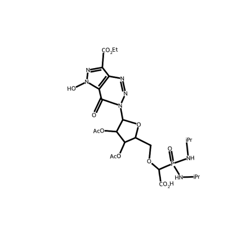 CCOC(=O)c1nn(O)c2c(=O)n(C3OC(COC(C(=O)O)P(=O)(NC(C)C)NC(C)C)C(OC(C)=O)C3OC(C)=O)nnc12